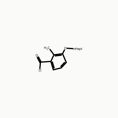 CCCCCCCOc1cccc(C(=O)Cl)c1C